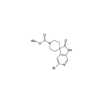 CC(C)(C)OC(=O)N1CCC2(CC1)C(=O)Nc1cnc(Br)cc12